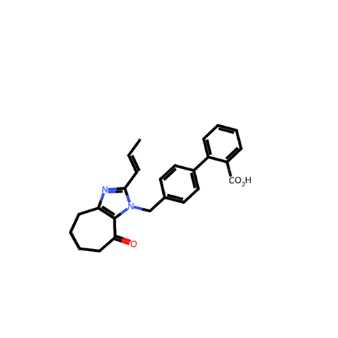 C/C=C/c1nc2c(n1Cc1ccc(-c3ccccc3C(=O)O)cc1)C(=O)CCCC2